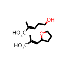 C/C(=C\C1CCCO1)C(=O)O.C/C(=C\CCO)C(=O)O